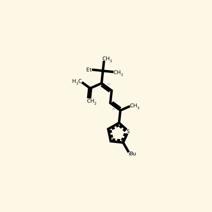 C=C(C)/C(=C\C=C(/C)c1ccc(C(C)CC)s1)C(C)(C)CC